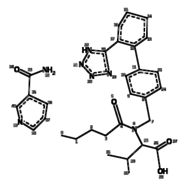 CCCCC(=O)N(Cc1ccc(-c2ccccc2-c2nnn[nH]2)cc1)C(C(=O)O)C(C)C.NC(=O)c1cccnc1